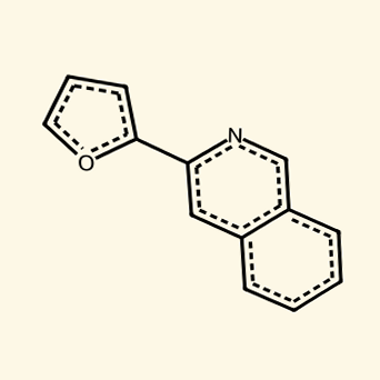 c1coc(-c2cc3ccccc3cn2)c1